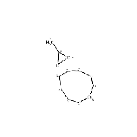 C1CCCCOCCC1.CC1CO1